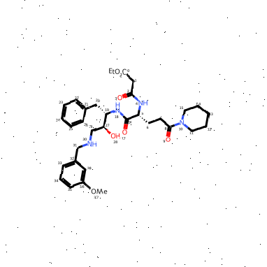 CCOC(=O)CC(=O)N[C@H](CCC(=O)N1CCCCC1)C(=O)N[C@@H](Cc1ccccc1)[C@@H](O)CNCc1cccc(OC)c1